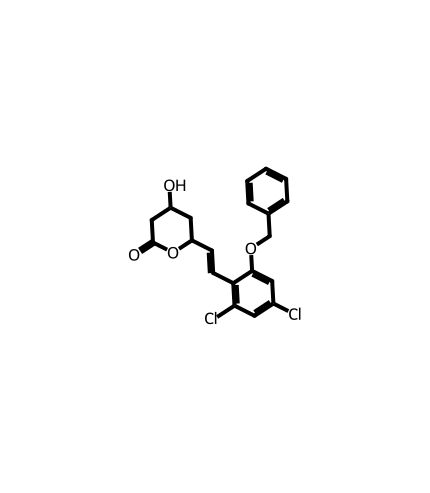 O=C1CC(O)CC(/C=C/c2c(Cl)cc(Cl)cc2OCc2ccccc2)O1